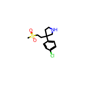 CS(=O)(=O)CCC1(c2ccc(Cl)cc2)CCNC1